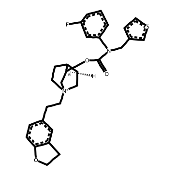 O=C(O[C@H]1C[N+]2(CCc3ccc4c(c3)CCO4)CCC1CC2)N(Cc1ccsc1)c1cccc(F)c1